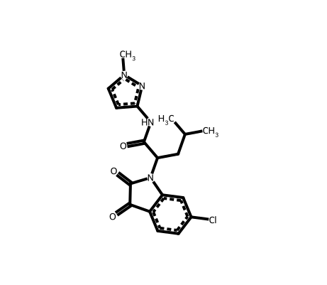 CC(C)CC(C(=O)Nc1ccn(C)n1)N1C(=O)C(=O)c2ccc(Cl)cc21